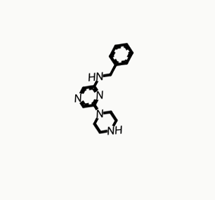 c1ccc(CNc2cncc(N3CCNCC3)n2)cc1